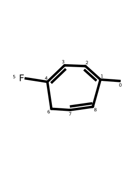 CC1=CC=C(F)CC=C1